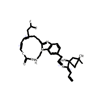 C=C/C=C(\N=C/Cc1ccc2nc3n(c2c1)CNNC(=O)C/C=C\C=C(\CC(F)F)CC3)C1(NC)CC(C)(C#N)C1